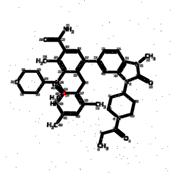 CCC(=O)N1CCC(n2c(=O)n(C)c3ccc(-c4cc(C(N)=O)c(C)c(N(CC)C5CCOCC5)c4Cc4c(C)cc(C)[nH]c4=O)cc32)CC1